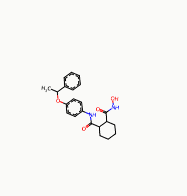 CC(Oc1ccc(NC(=O)C2CCCCC2C(=O)NO)cc1)c1ccccc1